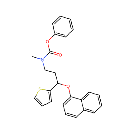 CN(CCC(Oc1cccc2ccccc12)c1cccs1)C(=O)Oc1ccccc1